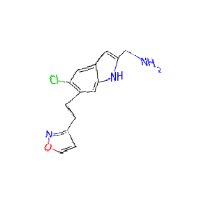 NCc1cc2cc(Cl)c(CCc3ccon3)cc2[nH]1